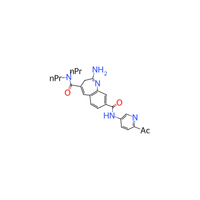 CCCN(CCC)C(=O)C1=Cc2ccc(C(=O)Nc3ccc(C(C)=O)nc3)cc2N=C(N)C1